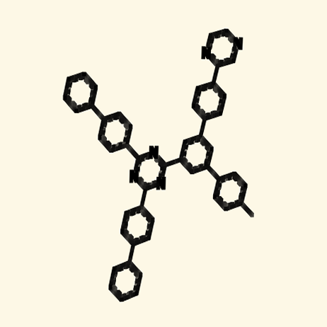 Cc1ccc(-c2cc(-c3ccc(-c4cnccn4)cc3)cc(-c3nc(-c4ccc(-c5ccccc5)cc4)nc(-c4ccc(-c5ccccc5)cc4)n3)c2)cc1